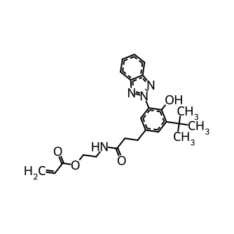 C=CC(=O)OCCNC(=O)CCc1cc(-n2nc3ccccc3n2)c(O)c(C(C)(C)C)c1